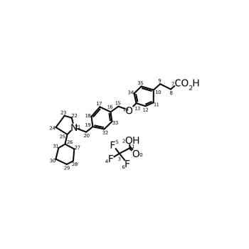 O=C(O)C(F)(F)F.O=C(O)CCc1ccc(OCc2ccc(CN3CCCC3C3CCCCC3)cc2)cc1